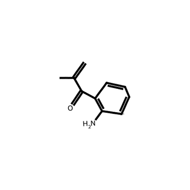 C=C(C)C(=O)c1ccc[c]c1N